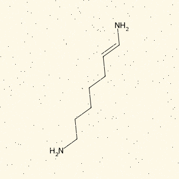 N/C=C/CCCCCN